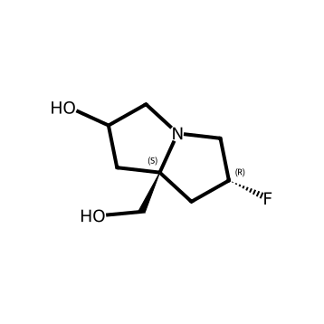 OC[C@@]12CC(O)CN1C[C@H](F)C2